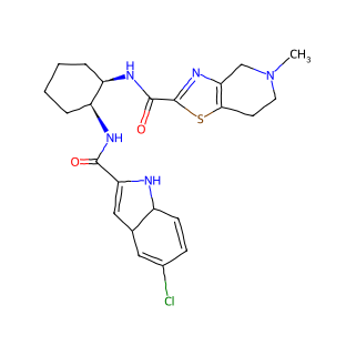 CN1CCc2sc(C(=O)N[C@@H]3CCCC[C@@H]3NC(=O)C3=CC4C=C(Cl)C=CC4N3)nc2C1